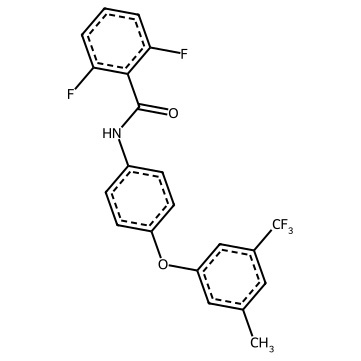 Cc1cc(Oc2ccc(NC(=O)c3c(F)cccc3F)cc2)cc(C(F)(F)F)c1